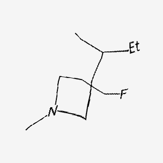 CCC(C)C1(F)CN(C)C1